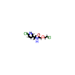 CC(C)(NC(=O)COCCCl)c1ccc(Cl)nc1